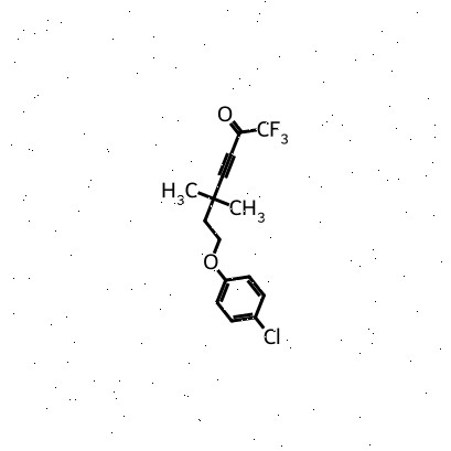 CC(C)(C#CC(=O)C(F)(F)F)CCOc1ccc(Cl)cc1